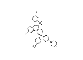 CC1(C)c2cc(F)ccc2-c2c1c1c(c3cc(F)ccc23)OC(c2ccc(P)cc2)(c2ccc(N3CCOCC3)cc2)C=C1